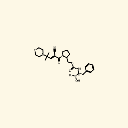 CC(C)(C=C(C#N)C(=O)N1CCCC1COC(=O)N[C@@H](Cc1ccccc1)B(O)O)N1CCOCC1